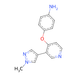 Cn1cc(-c2cnccc2Oc2ccc(N)cc2)cn1